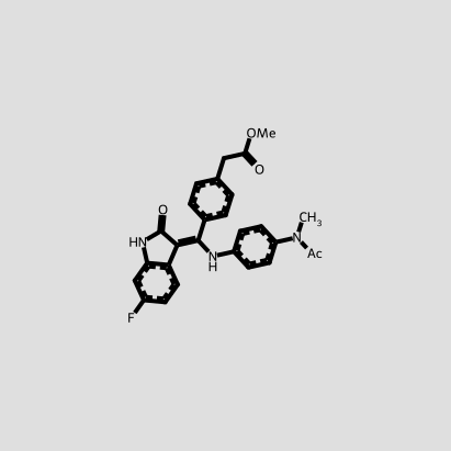 COC(=O)Cc1ccc(C(Nc2ccc(N(C)C(C)=O)cc2)=C2C(=O)Nc3cc(F)ccc32)cc1